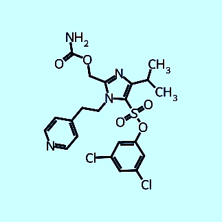 CC(C)c1nc(COC(N)=O)n(CCc2ccncc2)c1S(=O)(=O)Oc1cc(Cl)cc(Cl)c1